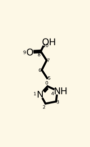 C1=NCCN1.CCCC(=O)O